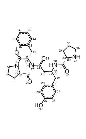 O=C[C@@H]1CCCN1C(=O)[C@H](Cc1ccccc1)NC(=O)C[C@H](Cc1ccc(O)cc1)NC(=O)[C@@H]1CCCN1